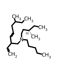 C=CC(C=CCC(C)CC)CN(CCCCC)CC[C@@H](C)CC